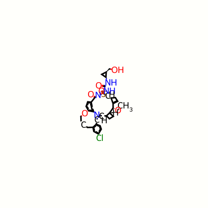 CO[C@H]1C2=CC[C@@H]2CS(=O)(NC(=O)N[C@H]2C[C@H]2CO)=NC(=O)c2ccc3c(c2)N(Cc2ccc(Cl)cc2CCCCO3)C[C@@H]2CC[C@H]21